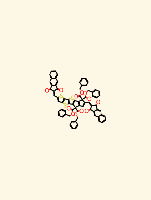 O=C1C(=CC2=CC3=C(c4sc5c(sc6cc(C=C7C(=O)c8cc9ccccc9cc8C7=O)sc65)c4C3(C(=O)OCc3ccccc3)C(=O)OCc3ccccc3)C2(C(=O)OCc2ccccc2)C(=O)OCc2ccccc2)C(=O)c2cc3ccccc3cc21